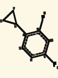 Fc1c[c]c(C2CC2)c(F)c1